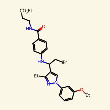 CCOC(=O)CCNC(=O)c1ccc(NC(CC(C)C)c2cn(-c3cccc(OCC)c3)nc2CC)cc1